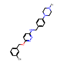 CC(=O)N1CCN(c2ccc(CNc3ccc(OCc4cccc(C#N)c4)nn3)cc2)CC1